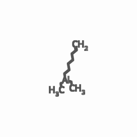 C=CCCCC[CH2][Al]([CH2]C)[CH2]C